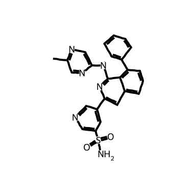 Cc1cnc(N(C)c2nc(-c3cncc(S(N)(=O)=O)c3)cc3cccc(-c4ccccc4)c23)cn1